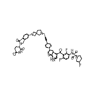 O=C1CCC(N2Cc3cc(N4CC5(CCN(CC#Cc6ccc(-c7cnc8[nH]cc(C(=O)c9c(F)ccc(NS(=O)(=O)N%10CC[C@@H](F)C%10)c9F)c8c7)cc6)C5)C4)ccc3C2=O)C(=O)N1